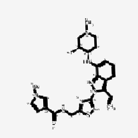 C=Cc1c2cccc(N[C@@H]3CCN(C)C[C@@H]3F)c2nn1-c1noc(CNC(=O)c2ccn(C(C)(C)C)c2)n1